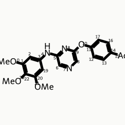 COc1cc(Nc2cncc(Oc3ccc(C(C)=O)cc3)n2)cc(OC)c1OC